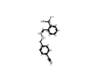 N#Cc1ccc(CO/N=[C]\c2ccccc2C(F)F)cc1